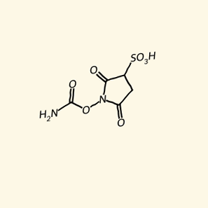 NC(=O)ON1C(=O)CC(S(=O)(=O)O)C1=O